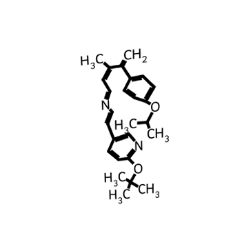 C=C(\C(C)=C/C=N/C=C/c1ccc(OC(C)(C)C)nc1)c1ccc(OC(C)C)cc1